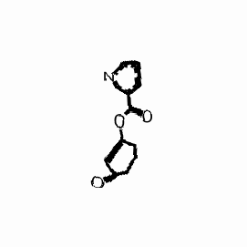 O=C1C=C(OC(=O)c2cccnc2)CCC1